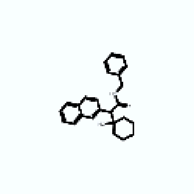 O=C(NCc1ccccc1)C(c1ccc2ccccc2c1)C1(O)CCCCC1